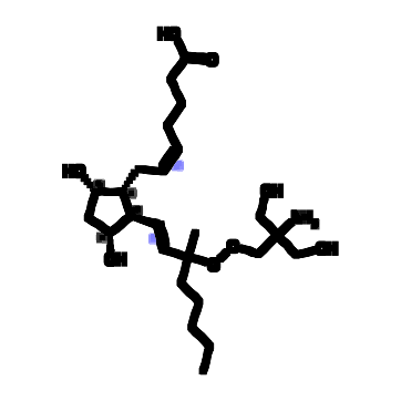 CCCCCC(C)(/C=C/[C@@H]1[C@@H](C/C=C\CCCC(=O)O)[C@@H](O)C[C@H]1O)OOCC(N)(CO)CO